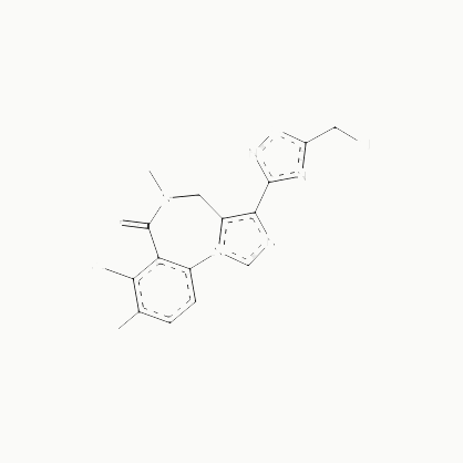 CN1Cc2c(-c3noc(CCl)n3)ncn2-c2ccc(F)c(Cl)c2C1=O